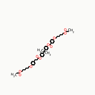 C=CC(=O)OCCCCCCOc1ccc(CCC(=O)Oc2ccc(C(C)(C)c3ccc(OC(=O)c4ccc(OCCCCCCOC(=O)C=C)cc4)cc3)cc2)cc1